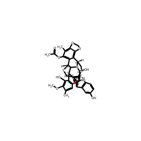 COc1c(C)cc2c(c1O)[C@H]1C3[C@@H]4SC[C@]5(NCCc6c5[nH]c5ccc(O)cc65)C(=O)OC[C@@H](c5c6c(c(C)c(OC(C)=O)c54)OCO6)N3[C@@H](O)[C@@H](C2)N1C